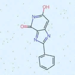 O=C1N=C(O)C=C2N=C(c3ccccc3)N=C12